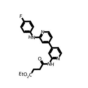 CCOC(=O)CCC(=O)Nc1cc(-c2ccnc(Nc3ccc(F)cc3)c2)ccn1